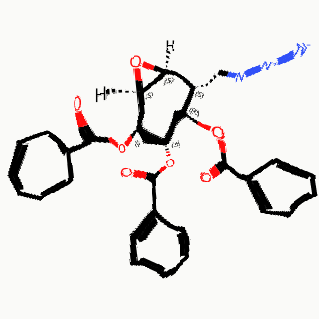 [N-]=[N+]=NC[C@@H]1[C@@H](OC(=O)c2ccccc2)[C@H](OC(=O)c2ccccc2)[C@@H](OC(=O)c2ccccc2)[C@H]2O[C@@H]12